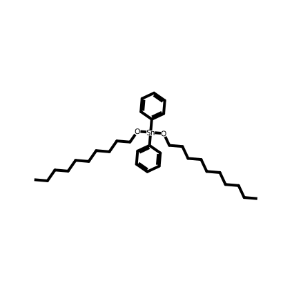 CCCCCCCCCC[O][Sn]([O]CCCCCCCCCC)([c]1ccccc1)[c]1ccccc1